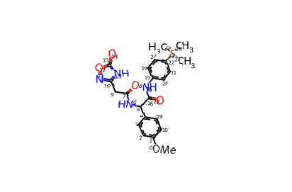 COc1ccc(C(NC(=O)Cc2noc(=O)[nH]2)C(=O)Nc2ccc(S(C)(C)C)cc2)cc1